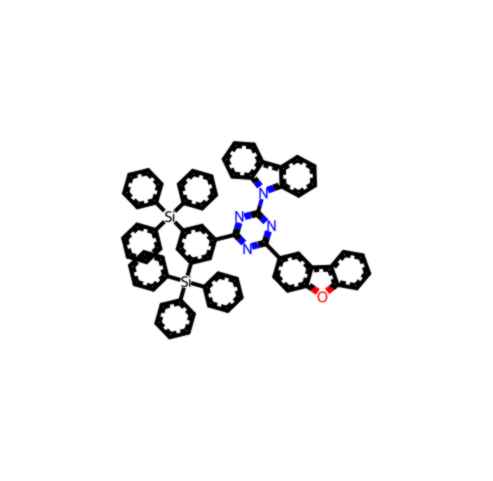 c1ccc([Si](c2ccccc2)(c2ccccc2)c2cc(-c3nc(-c4ccc5oc6ccccc6c5c4)nc(-n4c5ccccc5c5ccccc54)n3)cc([Si](c3ccccc3)(c3ccccc3)c3ccccc3)c2)cc1